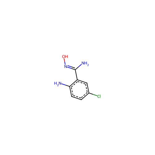 NC(=NO)c1cc(Cl)ccc1N